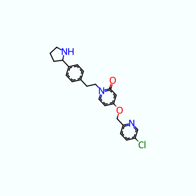 O=c1cc(OCc2ccc(Cl)cn2)ccn1CCc1ccc(C2CCCN2)cc1